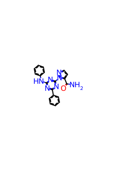 NC(=O)c1ccnn1-c1nc(Nc2ccccc2)nc(-c2ccccc2)n1